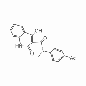 CC(=O)c1ccc(N(C)C(=O)c2c(O)c3ccccc3[nH]c2=O)cc1